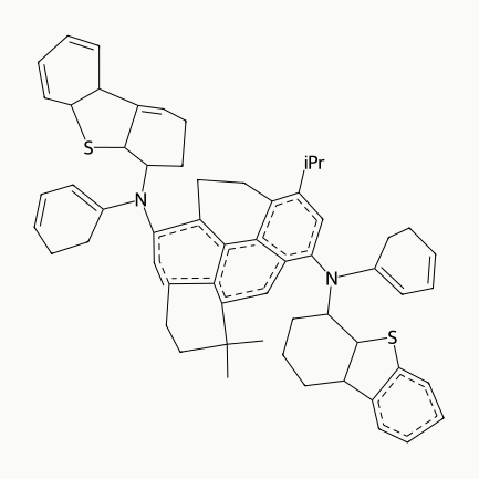 CC(C)c1cc(N(C2=CC=CCC2)C2CCCC3c4ccccc4SC32)c2cc3c4c(cc(N(C5=CC=CCC5)C5CCC=C6C7C=CC=CC7SC65)c5c4c2c1CC5)CCC3(C)C